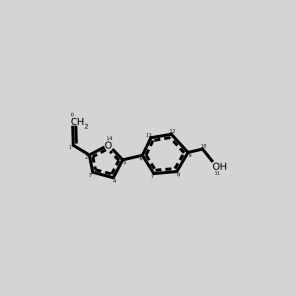 C=Cc1ccc(-c2ccc(CO)cc2)o1